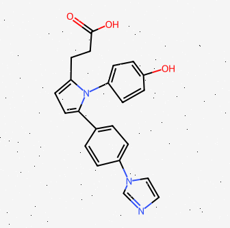 O=C(O)CCc1ccc(-c2ccc(-n3ccnc3)cc2)n1-c1ccc(O)cc1